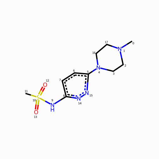 CN1CCN(c2ccc(NS(C)(=O)=O)nn2)CC1